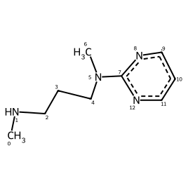 CNCCCN(C)c1n[c]ccn1